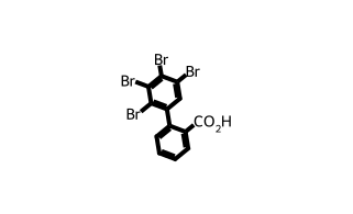 O=C(O)c1ccccc1-c1cc(Br)c(Br)c(Br)c1Br